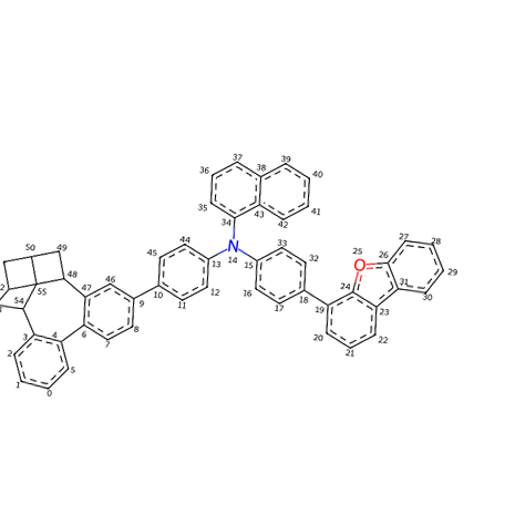 c1ccc2c(c1)-c1ccc(-c3ccc(N(c4ccc(-c5cccc6c5oc5ccccc56)cc4)c4cccc5ccccc45)cc3)cc1C1CC3CC4CC2C431